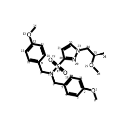 COc1ccc(CN(Cc2ccc(OC)cc2)S(=O)(=O)c2ccn(C[C@@H](C)OC)n2)cc1